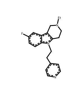 CCN1CCc2c(c3cc(F)ccc3n2CCc2ccncc2)C1